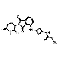 CC(C)(C)OC(=O)N[C@H]1C[C@H](Nc2cccc3c2C(=O)N(C2CCC(=O)NC2=O)C3=O)C1